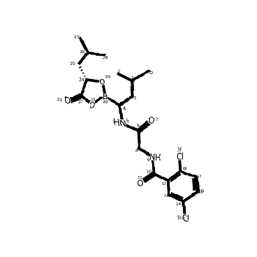 CC(C)CC(NC(=O)CNC(=O)c1cc(Cl)ccc1Cl)B1OC(=O)[C@H](CC(C)C)O1